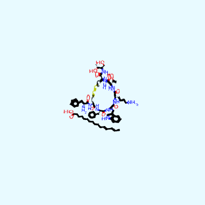 CC(O)[C@@H]1NC(=O)[C@H](CCCCN)NC(=O)[C@@H](Cc2c[nH]c3ccccc23)NC(=O)[C@H](Cc2ccccc2)NC(=O)[C@@H](NC(=O)[C@H](N)Cc2ccccc2)CSSC[C@@H](C(=O)N[C@H](CO)[C@@H](C)O)NC1=O.CCCCCCCCCCCCCCCC(=O)O